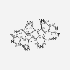 N#CC(C#N)=C1C(c2cc(F)ncc2C#N)=C(C#N)c2c(C#N)c3c(c(C#N)c21)C(C#N)=C(c1cc(F)ncc1C#N)C3=C(C#N)C#N